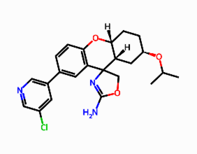 CC(C)O[C@@H]1CC[C@H]2Oc3ccc(-c4cncc(Cl)c4)cc3C3(COC(N)=N3)[C@H]2C1